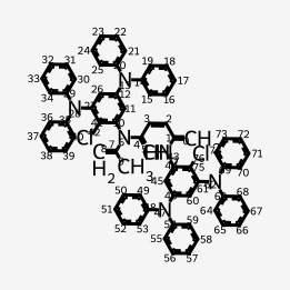 C=C(/C=C\C(=C)N(C(=C)C)c1cc(N(c2ccccc2)c2ccccc2)cc(N(c2ccccc2)c2ccccc2)c1Cl)Nc1cc(N(c2ccccc2)c2ccccc2)cc(N(c2ccccc2)c2ccccc2)c1Cl